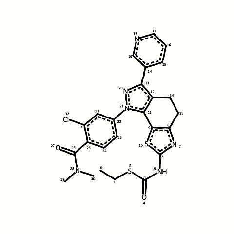 CCSC(=O)Nc1nc2c(s1)-c1c(c(-c3cccnc3)nn1-c1ccc(C(=O)N(C)C)c(Cl)c1)CC2